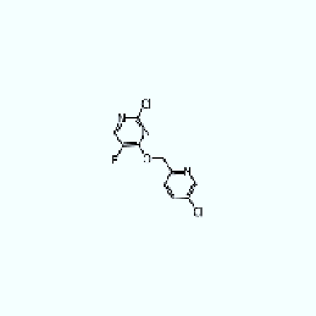 Fc1cnc(Cl)nc1OCc1ccc(Cl)cn1